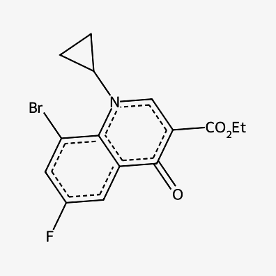 CCOC(=O)c1cn(C2CC2)c2c(Br)cc(F)cc2c1=O